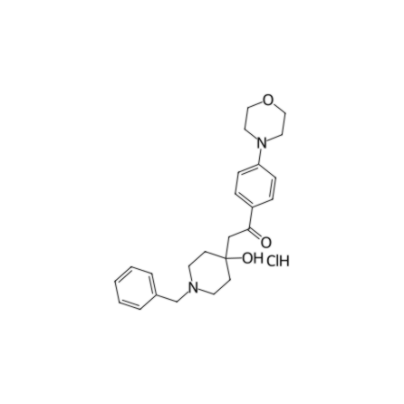 Cl.O=C(CC1(O)CCN(Cc2ccccc2)CC1)c1ccc(N2CCOCC2)cc1